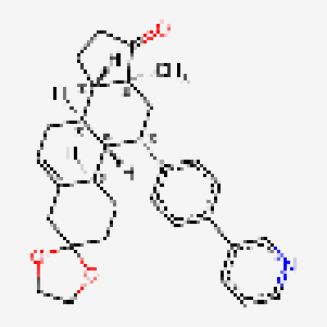 C[C@]12C[C@H](c3ccc(-c4cccnc4)cc3)[C@H]3[C@@H](CC=C4CC5(CC[C@@H]43)OCCO5)[C@@H]1CCC2=O